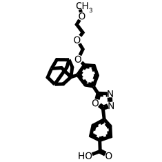 COCCOCOc1ccc(-c2nnc(-c3ccc(C(=O)O)cc3)o2)cc1C12CC3CC(CC(C3)C1)C2